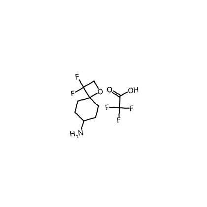 NC1CCC2(CC1)OCC2(F)F.O=C(O)C(F)(F)F